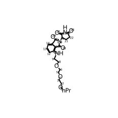 CCCOCCOCCOCCNc1cccc2c1C(=O)N(C1CCC(=O)NC1=O)C2=O